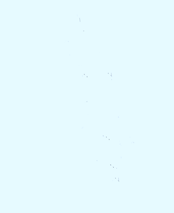 Cc1cc2n(n1)CCN(c1ccc(-c3ncc4cc(C(F)(F)F)ccc4n3)cc1C)C2=O